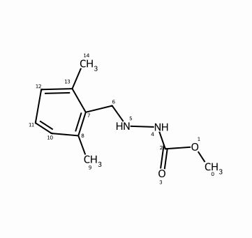 COC(=O)NNCc1c(C)cccc1C